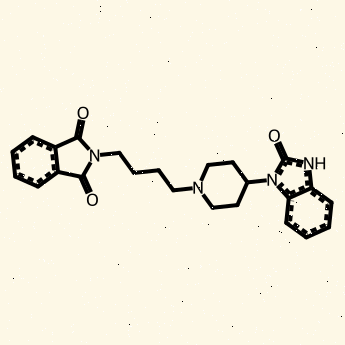 O=C1c2ccccc2C(=O)N1CCCCN1CCC(n2c(=O)[nH]c3ccccc32)CC1